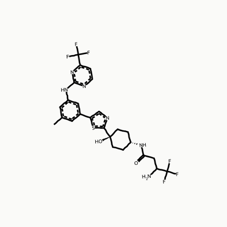 Cc1cc(Nc2nccc(C(F)(F)F)n2)cc(-c2cnc([C@]3(O)CC[C@H](NC(=O)CC(N)C(F)(F)F)CC3)s2)c1